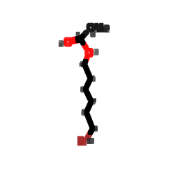 COC(=O)OCCCCCCBr